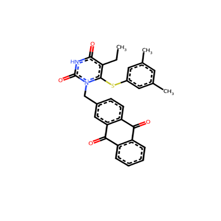 CCc1c(Sc2cc(C)cc(C)c2)n(Cc2ccc3c(c2)C(=O)c2ccccc2C3=O)c(=O)[nH]c1=O